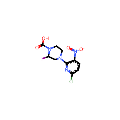 O=C(O)N1CCN(c2nc(Cl)ccc2[N+](=O)[O-])CC1I